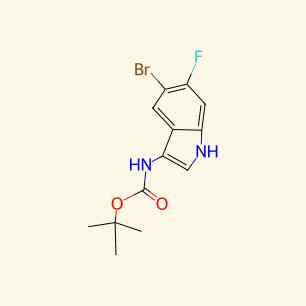 CC(C)(C)OC(=O)Nc1c[nH]c2cc(F)c(Br)cc12